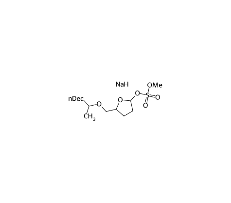 CCCCCCCCCCC(C)OCC1CCC(OS(=O)(=O)OC)O1.[NaH]